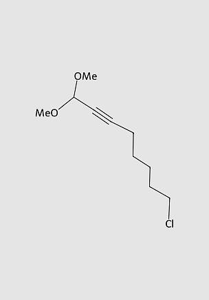 COC(C#CCCCCCCl)OC